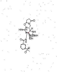 CS(=O)(=O)c1cccc(C(=O)NC2CN3C(=N)N[C@@H](CN4C(=O)CCC4=O)[C@@H]4NC(=N)N[C@@]43C2(O)O)c1